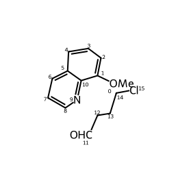 COc1cccc2cccnc12.O=CCCCCl